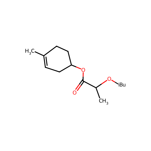 CCC(C)OC(C)C(=O)OC1CC=C(C)CC1